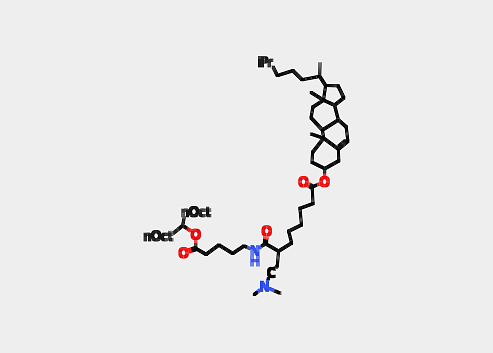 CCCCCCCCC(CCCCCCCC)OC(=O)CCCCNC(=O)C(CCCCCC(=O)OC1CCC2(C)C(=CCC3C2CCC2(C)C(C(C)CCCC(C)C)CCC32)C1)CCN(C)C